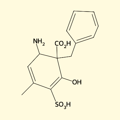 CC1=CC(N)C(Cc2ccccc2)(C(=O)O)C(O)=C1S(=O)(=O)O